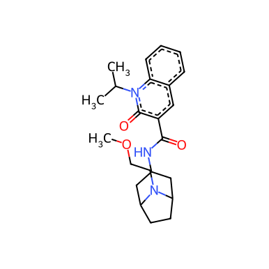 COCCN1C2CCC1CC(NC(=O)c1cc3ccccc3n(C(C)C)c1=O)C2